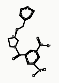 O=C(c1cc([N+](=O)[O-])cc([N+](=O)[O-])c1)N1CC[C@@H](OCc2ccncc2)C1